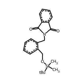 CC(C)(C)[Si](C)(C)OCc1ccccc1CN1C(=O)c2ccccc2C1=O